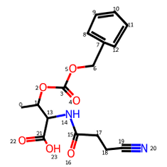 CC(OC(=O)OCc1ccccc1)C(NC(=O)CCC#N)C(=O)O